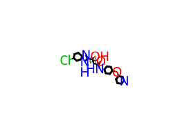 O=C(C[C@H](O)c1nc2ccc(Cl)cc2[nH]1)Nc1ccc(Oc2cccnc2)cc1